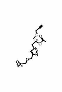 C#CCOC[C@@H](Cn1cc(COC[C@H]2CO2)nn1)OC(C)=O